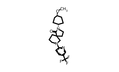 CO[C@H]1CC[C@H](N2CCC3(CCCN(c4ccc(C(F)(F)F)cn4)C3)C2=O)CC1